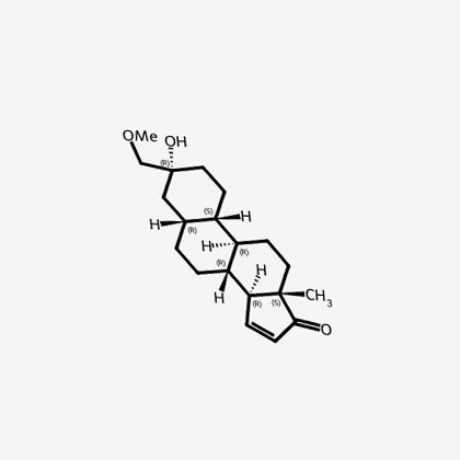 COC[C@@]1(O)CC[C@H]2[C@H](CC[C@@H]3[C@@H]2CC[C@]2(C)C(=O)C=C[C@@H]32)C1